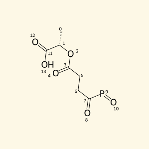 C[C@H](OC(=O)CCC(=O)P=O)C(=O)O